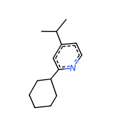 CC(C)c1ccnc(C2CCCCC2)c1